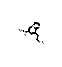 CCCc1cc(NC)cn2ccnc12